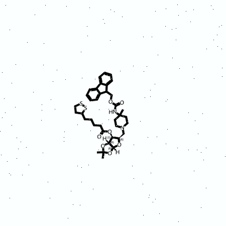 CC1(NC(=O)OCC2c3ccccc3-c3ccccc32)CCN(C[C@H]2O[C@@H]3OC(C)(C)O[C@@H]3[C@H]2OC(=O)CCCCC2CCSS2)CC1